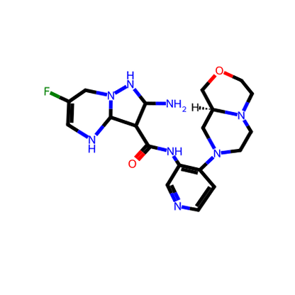 NC1NN2CC(F)=CNC2C1C(=O)Nc1cnccc1N1CCN2CCOC[C@@H]2C1